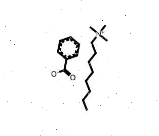 CCCCCCCC[N+](C)(C)C.O=C([O-])c1ccccc1